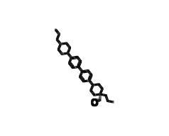 CCCC1CCC(c2ccc(-c3ccc(C4CCC(C=O)(CCC)CC4)cc3)cc2)CC1